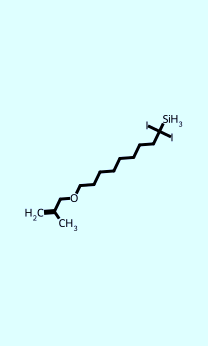 C=C(C)COCCCCCCCCC([SiH3])(I)I